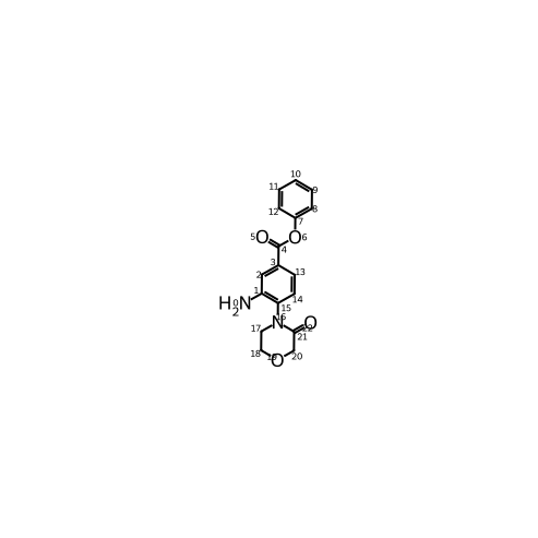 Nc1cc(C(=O)Oc2ccccc2)ccc1N1CCOCC1=O